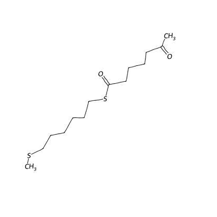 CSCCCCCCSC(=O)CCCCC(C)=O